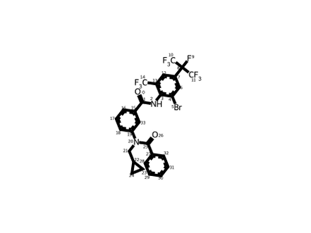 O=C(Nc1c(Br)cc(C(F)(C(F)(F)F)C(F)(F)F)cc1C(F)(F)F)c1cccc(N(CC2CC2)C(=O)c2ccccc2)c1